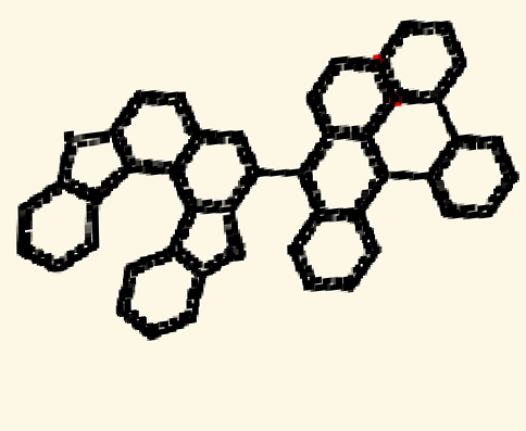 c1ccc(-c2ccccc2-c2c3ccccc3c(-c3cc4ccc5sc6ccccc6c5c4c4c3sc3ccccc34)c3ccccc23)cc1